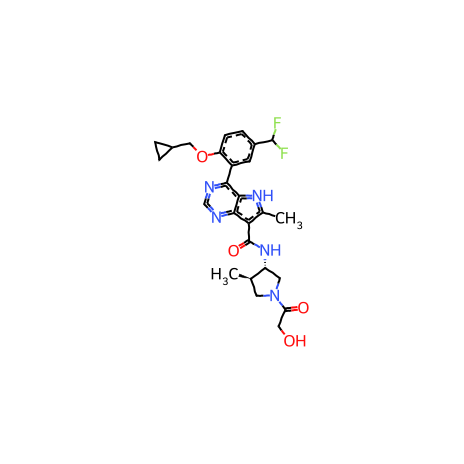 Cc1[nH]c2c(-c3cc(C(F)F)ccc3OCC3CC3)ncnc2c1C(=O)N[C@@H]1CN(C(=O)CO)C[C@H]1C